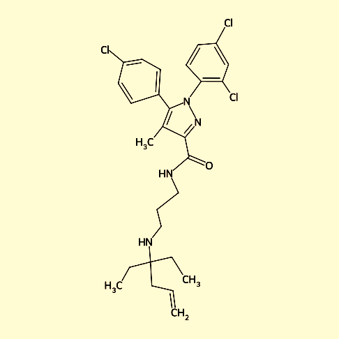 C=CCC(CC)(CC)NCCCNC(=O)c1nn(-c2ccc(Cl)cc2Cl)c(-c2ccc(Cl)cc2)c1C